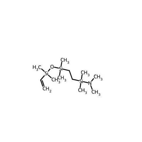 C=C[Si](C)(C)O[Si](C)(C)CC[Si](C)(C)N(C)C